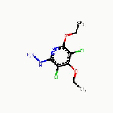 NNc1nc(OCC(F)(F)F)c(Cl)c(OCC(F)(F)F)c1Cl